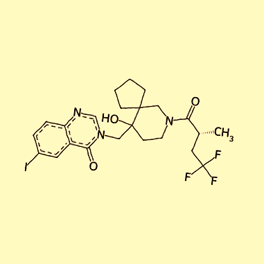 C[C@H](CC(F)(F)F)C(=O)N1CCC(O)(Cn2cnc3ccc(I)cc3c2=O)C2(CCCC2)C1